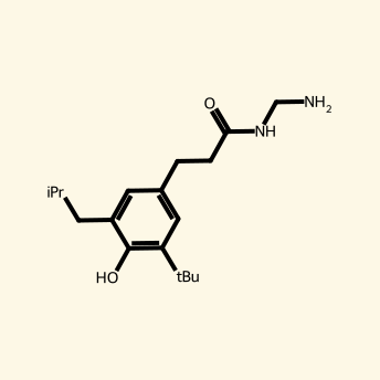 CC(C)Cc1cc(CCC(=O)NCN)cc(C(C)(C)C)c1O